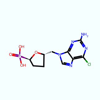 Nc1nc(Cl)c2ncn(C[C@@H]3CC[C@@H](P(=O)(O)O)O3)c2n1